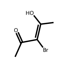 CC(=O)C(Br)=C(C)O